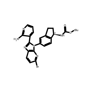 CC(C)(C)OC(=O)N[C@@H]1CCc2cc(-n3c(-c4cccnc4N)nc4ccc(Br)nc43)ccc21